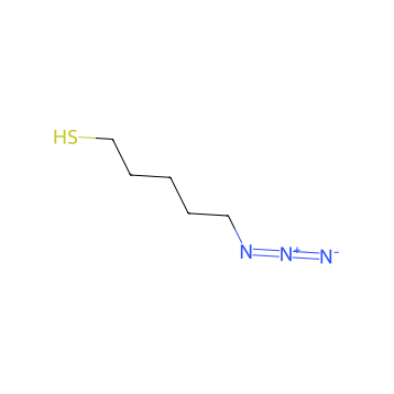 [N-]=[N+]=NCCCCCS